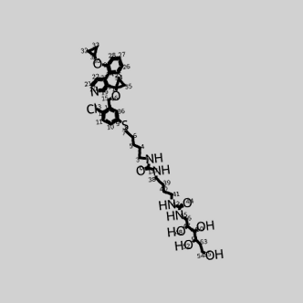 O=C(NCCCCCSc1ccc(Cl)c(COC2(c3cnccc3-c3ccccc3OC3CC3)CC2)c1)NCCCCNC(=O)NCC(O)C(O)C(O)CCO